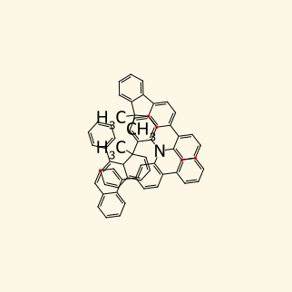 CC1(C)c2ccccc2-c2ccc(-c3ccccc3N(c3cc(-c4cccc5ccccc45)ccc3-c3ccccc3)c3ccccc3C3(C)C=CC=C4C=CC=C(c5ccccc5)C43)cc21